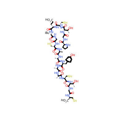 CC[C@H](C)[C@H](NC(=O)[C@H](CCC(=O)O)NC(=O)[C@H](CS)NC(=O)[C@@H](NC(=O)CNC(=O)[C@@H]1CCCN1)[C@@H](C)O)C(=O)NCC(=O)N[C@@H](CS)C(=O)N[C@@H](C)C(=O)N[C@@H](C)C(=O)N[C@@H](Cc1ccc(O)cc1)C(=O)N[C@@H](C)C(=O)N[C@@H](C)C(=O)N[C@@H](CS)C(=O)N[C@H](C(=O)NCC(=O)N[C@@H](CS)C(=O)O)[C@@H](C)O